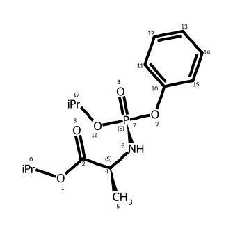 CC(C)OC(=O)[C@H](C)N[P@@](=O)(Oc1ccccc1)OC(C)C